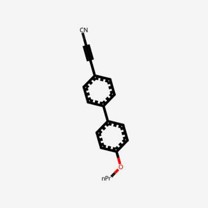 CCCOc1ccc(-c2ccc(C#CC#N)cc2)cc1